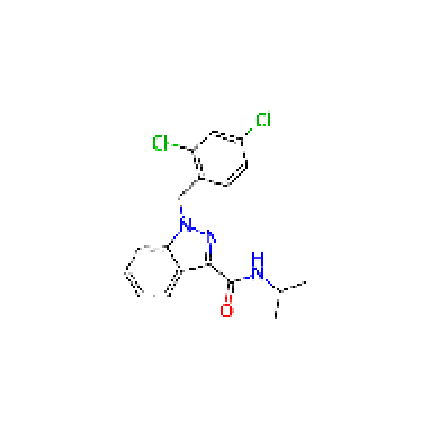 CC(C)NC(=O)c1nn(Cc2ccc(Cl)cc2Cl)c2ccccc12